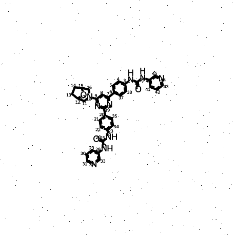 O=C(Nc1ccc(-c2cc(N3CC4CCC(C3)O4)nc(-c3ccc(NC(=O)Nc4cccnc4)cc3)n2)cc1)Nc1cccnc1